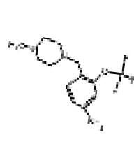 CN1CCN(Cc2ccc(N)cc2OC(F)(F)F)CC1